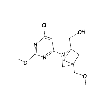 COCC12CN(c3cc(Cl)nc(OC)n3)C(CO)(C1)C2